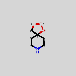 C1CC2(CCN1)COOO2